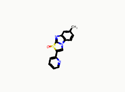 Cc1ccc2c(c1)nc1n2cc(-c2ccccn2)[s+]1[O-]